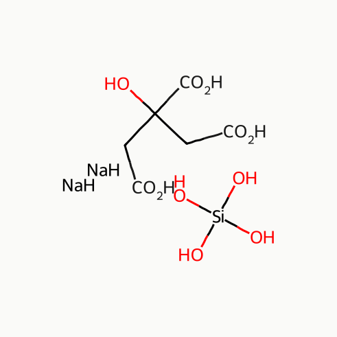 O=C(O)CC(O)(CC(=O)O)C(=O)O.O[Si](O)(O)O.[NaH].[NaH]